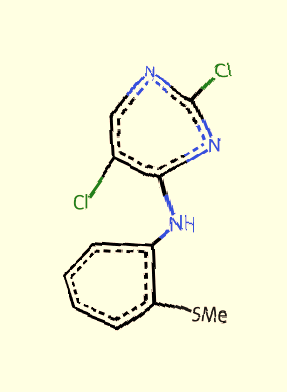 CSc1ccccc1Nc1nc(Cl)ncc1Cl